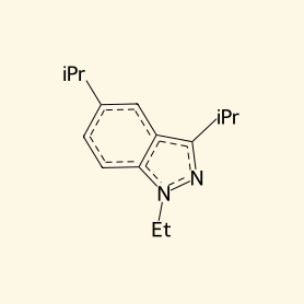 CCn1nc(C(C)C)c2cc(C(C)C)ccc21